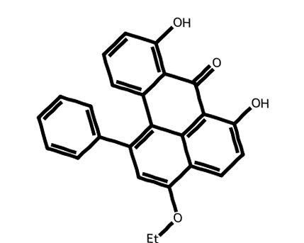 CCOc1cc(-c2ccccc2)c2c3c(c(O)ccc13)C(=O)c1c(O)cccc1-2